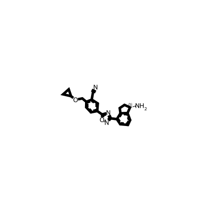 N#Cc1cc(-c2nc(-c3cccc4c3CC[C@@H]4N)no2)ccc1COC1CC1